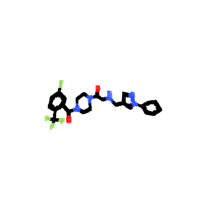 O=C(CNCc1cnn(-c2ccccc2)c1)N1CCN(C(=O)c2cc(F)ccc2C(F)(F)F)CC1